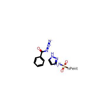 CCCCCS(N)(=O)=O.[N-]=[N+]=NC(=O)c1ccccc1.c1cn[nH]c1